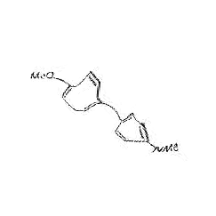 CNc1ccc(-c2ccc(OC)cc2)cc1